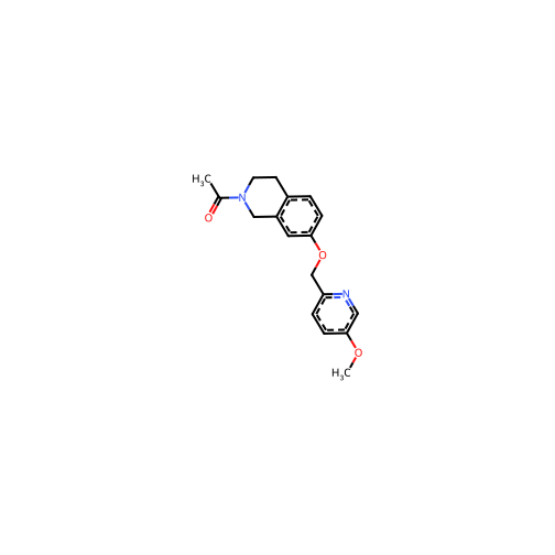 COc1ccc(COc2ccc3c(c2)CN(C(C)=O)CC3)nc1